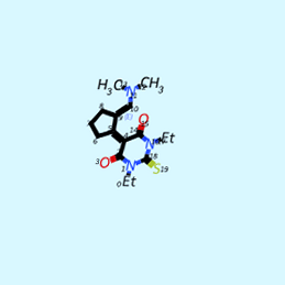 CCN1C(=O)C(=C2CCC/C2=C\N(C)C)C(=O)N(CC)C1=S